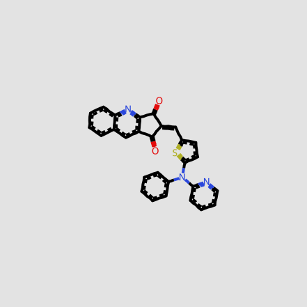 O=C1/C(=C\c2ccc(N(c3ccccc3)c3ccccn3)s2)C(=O)c2nc3ccccc3cc21